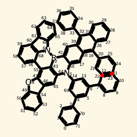 c1ccc(-c2cc(-c3ccccc3)cc(N3c4cc5c(-c6ccccc6)c6ccccc6c(-c6ccccc6)c5cc4B4c5c3cc3c(oc6ccccc63)c5-c3cccc5c6ccccc6n4c35)c2)cc1